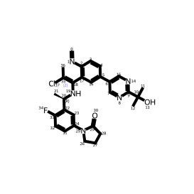 C=Nc1ccc(-c2cnc(C(C)(C)O)nc2)cc1/C(N[C@H](C)c1cc(N2CCCC2=O)ccc1F)=C(\C)Cl